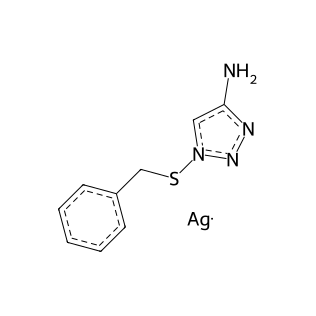 Nc1cn(SCc2ccccc2)nn1.[Ag]